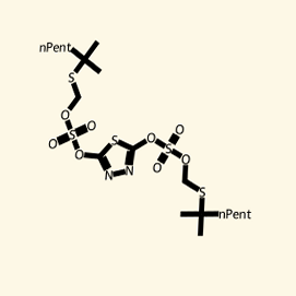 CCCCCC(C)(C)SCOS(=O)(=O)Oc1nnc(OS(=O)(=O)OCSC(C)(C)CCCCC)s1